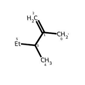 [CH2]C(=C)C(C)CC